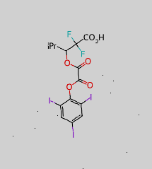 CC(C)C(OC(=O)C(=O)Oc1c(I)cc(I)cc1I)C(F)(F)C(=O)O